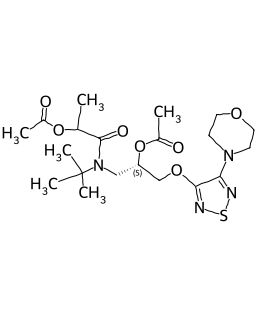 CC(=O)OC(C)C(=O)N(C[C@@H](COc1nsnc1N1CCOCC1)OC(C)=O)C(C)(C)C